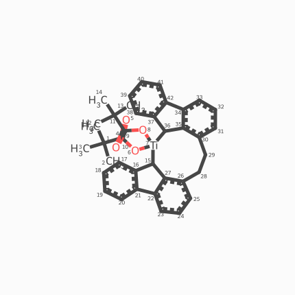 CC(C)(C)C(=O)[O][Ti]1([O]C(=O)C(C)(C)C)[CH]2c3ccccc3-c3cccc(c32)CCc2cccc3c2[CH]1c1ccccc1-3